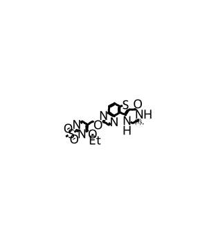 CCOc1nc(S(C)(=O)=O)ncc1COc1cnc2c(ccc3sc4c(c32)NC[C@@H](C)NC4=O)n1